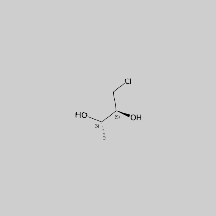 C[C@H](O)[C@H](O)CCl